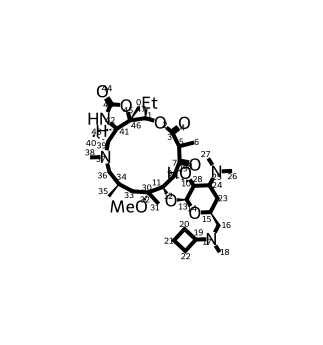 CC[C@H]1OC(=O)C(C)C(=O)[C@H](C)[C@@H](O[C@@H]2O[C@H](CN(C)C3CCC3)CC(N(C)C)C2O)[C@](C)(OC)C[C@@H](C)CN(C)[C@H](C)[C@H]2NC(=O)O[C@@]21C